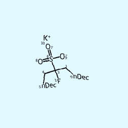 CCCCCCCCCCCC(F)(CCCCCCCCCCC)S(=O)(=O)[O-].[K+]